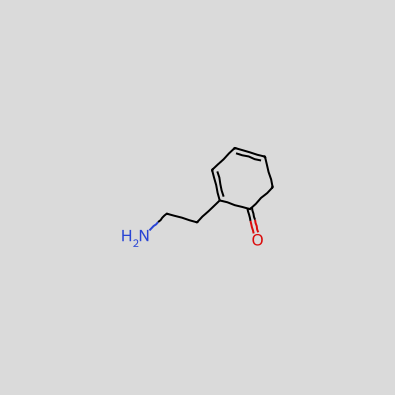 NCCC1=CC=CCC1=O